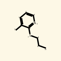 [CH2]c1cccnc1SCCC